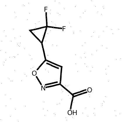 O=C(O)c1cc(C2CC2(F)F)on1